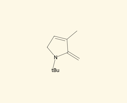 C=C1C(C)=CCN1C(C)(C)C